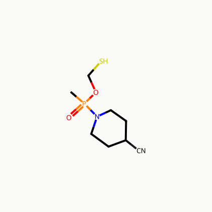 CP(=O)(OCS)N1CCC(C#N)CC1